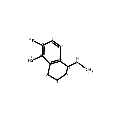 CNC1CCCc2c1ccc(F)c2S